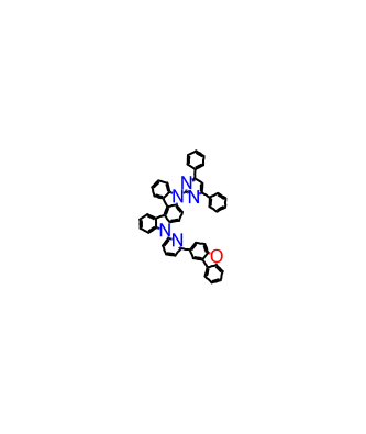 c1ccc(-c2cc(-c3ccccc3)nc(-n3c4ccccc4c4c5c6ccccc6n(-c6cccc(-c7ccc8oc9ccccc9c8c7)n6)c5ccc43)n2)cc1